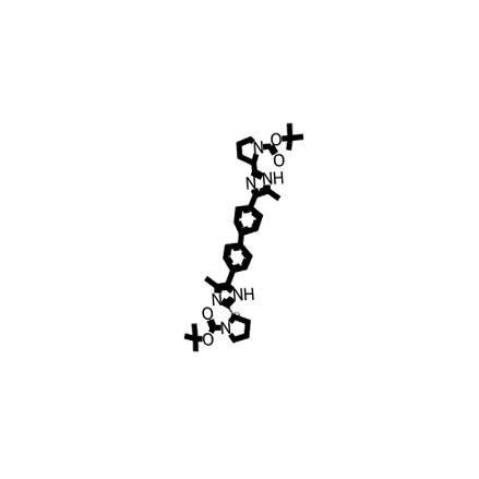 Cc1nc([C@@H]2CCCN2C(=O)OC(C)(C)C)[nH]c1-c1ccc(-c2ccc(-c3nc(C4CCCN4C(=O)OC(C)(C)C)[nH]c3C)cc2)cc1